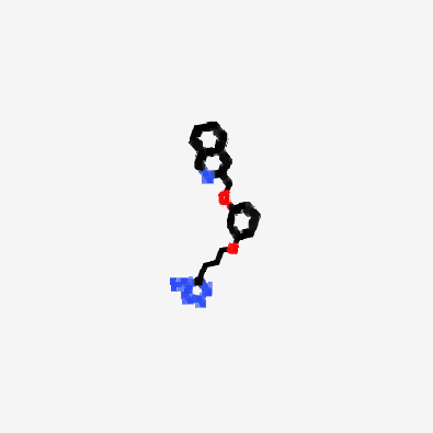 c1cc(OCCCc2nnn[nH]2)cc(OCc2cc3ccccc3cn2)c1